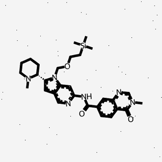 CN1CCCC[C@@H]1c1cc2cnc(NC(=O)c3ccc4c(=O)n(C)cnc4c3)cc2n1COCC[Si](C)(C)C